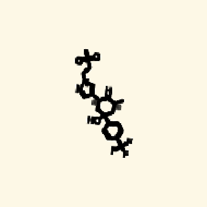 C[C@H]1CC(O)(c2ccc(C(F)(F)F)cc2)C[C@@H](c2cnn(CCS(C)(=O)=O)c2)N1